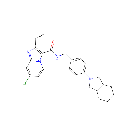 CCc1nc2cc(Cl)ccn2c1C(=O)NCc1ccc(N2CC3CCCCC3C2)cc1